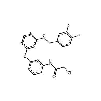 O=C(CCl)Nc1cccc(Oc2cc(NCc3ccc(F)c(F)c3)ncn2)c1